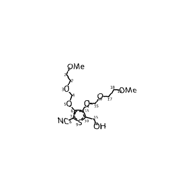 COCCOCOc1c(C#N)sc(CO)c1OCOCCOC